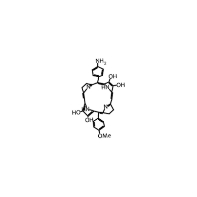 COc1ccc(-c2c3nc(cc4[nH]c(c(O)c4O)c(-c4ccc(N)cc4)c4nc(cc5[nH]c2c(O)c5O)CC4)CC3)cc1